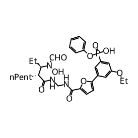 CCCCC[C@@H](C(=O)NCNC(=O)c1ccc(-c2cc(OCC)cc(P(=O)(O)Oc3ccccc3)c2)o1)[C@@H](CC)N(O)C=O